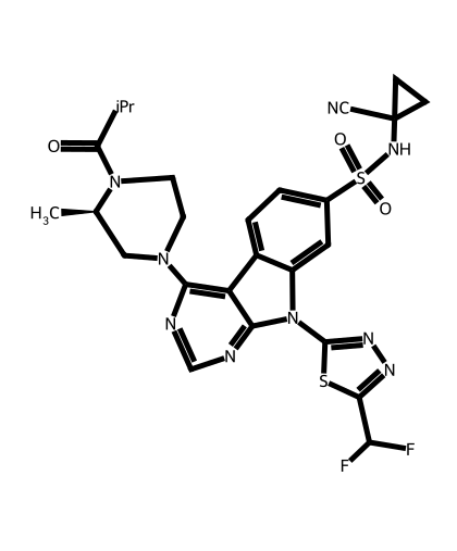 CC(C)C(=O)N1CCN(c2ncnc3c2c2ccc(S(=O)(=O)NC4(C#N)CC4)cc2n3-c2nnc(C(F)F)s2)C[C@H]1C